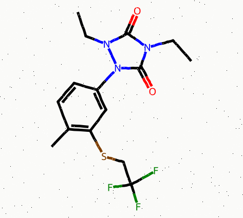 CCn1c(=O)n(CC)n(-c2ccc(C)c(SCC(F)(F)F)c2)c1=O